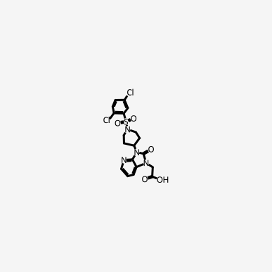 O=C(O)Cn1c(=O)n(C2CCN(S(=O)(=O)c3cc(Cl)ccc3Cl)CC2)c2ncccc21